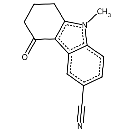 Cn1c2c(c3cc(C#N)ccc31)C(=O)CCC2